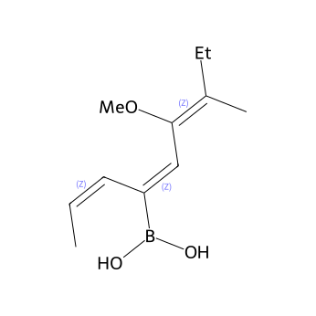 C\C=C/C(=C\C(OC)=C(/C)CC)B(O)O